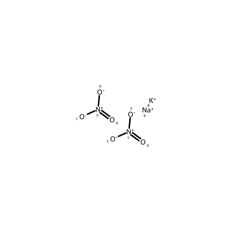 O=[N+]([O-])[O-].O=[N+]([O-])[O-].[K+].[Na+]